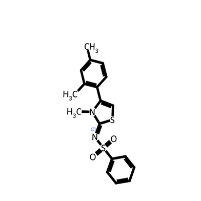 Cc1ccc(-c2cs/c(=N\S(=O)(=O)c3ccccc3)n2C)c(C)c1